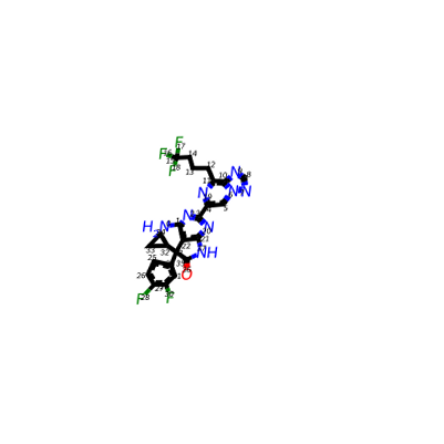 Nc1nc(-c2cn3ncnc3c(CCCC(F)(F)F)n2)nc2c1C(c1ccc(F)c(F)c1)(C1CC1)C(=O)N2